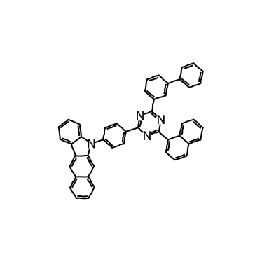 c1ccc(-c2cccc(-c3nc(-c4ccc(-n5c6ccccc6c6cc7ccccc7cc65)cc4)nc(-c4cccc5ccccc45)n3)c2)cc1